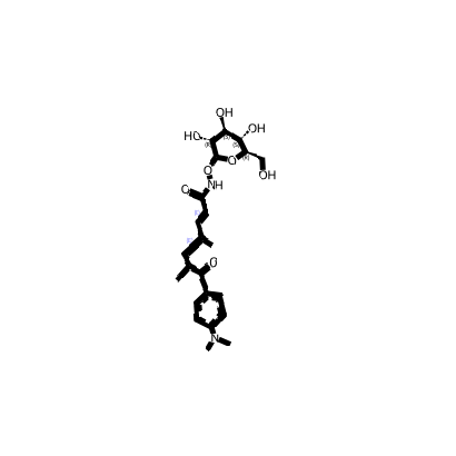 CC(/C=C/C(=O)NOC1O[C@H](CO)[C@@H](O)[C@H](O)[C@H]1O)=C\C(C)C(=O)c1ccc(N(C)C)cc1